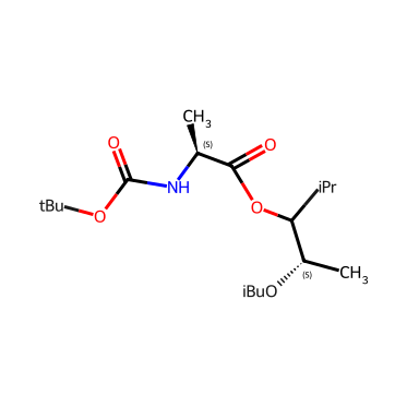 CC(C)CO[C@@H](C)C(OC(=O)[C@H](C)NC(=O)OC(C)(C)C)C(C)C